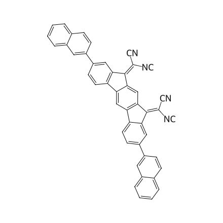 [C-]#[N+]/C(C#N)=C1/c2cc(-c3ccc4ccccc4c3)ccc2-c2cc3c(cc21)/C(=C(\C#N)[N+]#[C-])c1cc(-c2ccc4ccccc4c2)ccc1-3